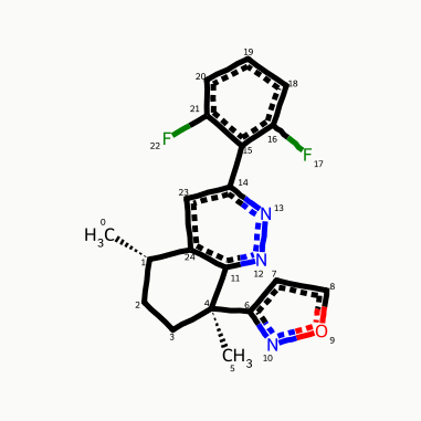 C[C@H]1CC[C@](C)(c2ccon2)c2nnc(-c3c(F)cccc3F)cc21